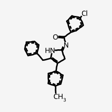 Cc1ccc(C2=C(Cc3ccccc3)N/C(=N\C(=O)c3ccc(Cl)cc3)C2)cc1